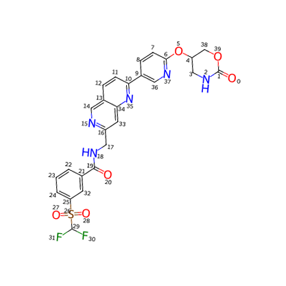 O=C1NCC(Oc2ccc(-c3ccc4cnc(CNC(=O)c5cccc(S(=O)(=O)C(F)F)c5)cc4n3)cn2)CO1